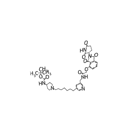 CC(C)(C)OC(=O)NC1CCN(CCCCCCCc2cncc(CNC(=O)COc3cccc4c3C(=O)N(C3CCC(=O)NC3=O)C4=O)c2)CC1